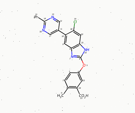 Cc1ccc(Oc2nc3cc(-c4cnc(C(C)C)nc4)c(Cl)cc3[nH]2)cc1C(=O)O